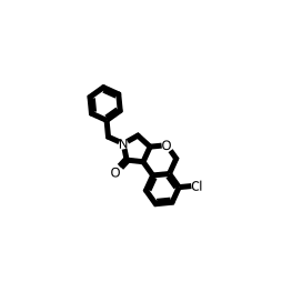 O=C1C2c3cccc(Cl)c3COC2CN1Cc1ccccc1